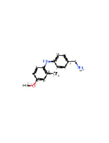 CC(C)Oc1ccc(Nc2ccc(CN)cc2)c(C(F)(F)F)c1